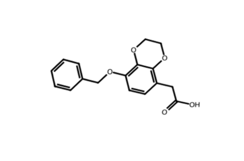 O=C(O)Cc1ccc(OCc2ccccc2)c2c1OCCO2